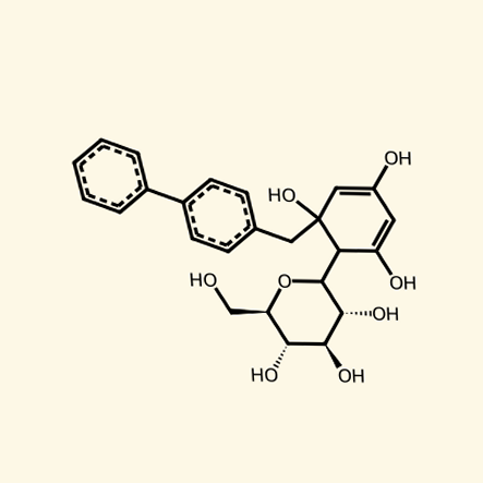 OC[C@H]1OC(C2C(O)=CC(O)=CC2(O)Cc2ccc(-c3ccccc3)cc2)[C@H](O)[C@@H](O)[C@@H]1O